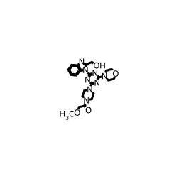 COCC(=O)N1CCN(c2nc(N3CCOCC3)nc(-n3c(CO)nc4ccccc43)n2)CC1